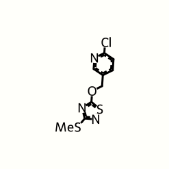 CSc1nsc(OCc2ccc(Cl)nc2)n1